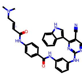 CN(C)C/C=C/C(=O)Nc1ccc(C(=O)Nc2cccc(Nc3ncc(C#N)c(-c4c[nH]c5ccccc45)n3)c2)cc1